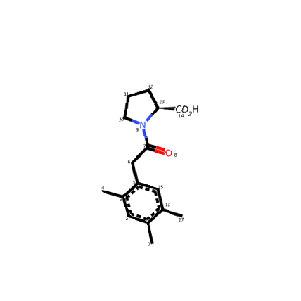 Cc1cc(C)c(CC(=O)N2CCC[C@H]2C(=O)O)cc1C